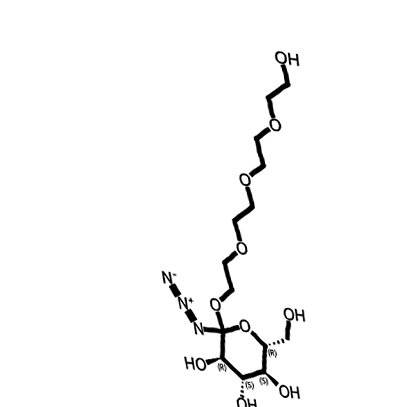 [N-]=[N+]=NC1(OCCOCCOCCOCCO)O[C@H](CO)[C@@H](O)[C@H](O)[C@H]1O